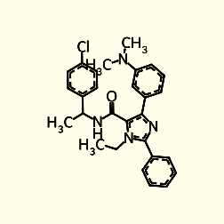 CCn1c(-c2ccccc2)nc(-c2cccc(N(C)C)c2)c1C(=O)NC(C)c1ccc(Cl)cc1